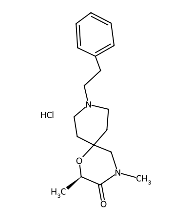 C[C@H]1OC2(CCN(CCc3ccccc3)CC2)CN(C)C1=O.Cl